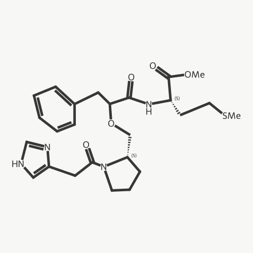 COC(=O)[C@H](CCSC)NC(=O)C(Cc1ccccc1)OC[C@@H]1CCCN1C(=O)Cc1c[nH]cn1